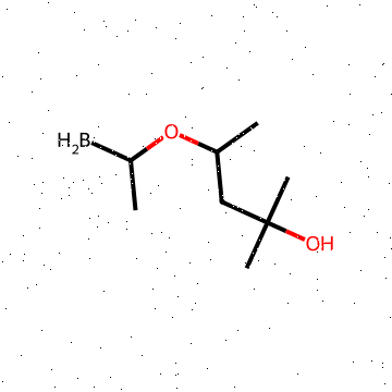 BC(C)OC(C)CC(C)(C)O